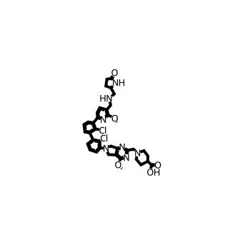 COc1nc(-c2cccc(-c3cccc(N4Cc5nc(CN6CCC(C(=O)O)CC6)nc(OC)c5C4)c3Cl)c2Cl)ccc1CNCC1CCC(=O)N1